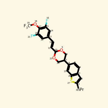 CCCc1cc2ccc(C3COC(/C=C/c4cc(F)c(OC(F)(F)F)c(F)c4)OC3)cc2s1